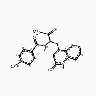 CSC(=O)C(Cc1cc(=O)[nH]c2ccccc12)NC(=O)c1ccc(Cl)cc1